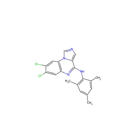 Cc1cc(C)c(Nc2nc3cc(Cl)c(Cl)cc3n3cncc23)c(C)c1